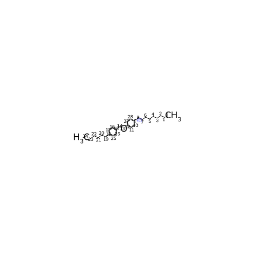 CCCCCCC/C=C/c1ccc(OCc2ccc(CCCCCC)cc2)cc1